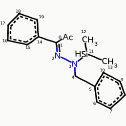 CC(=O)C(=NN(Cc1ccccc1)[SiH](C)C)c1ccccc1